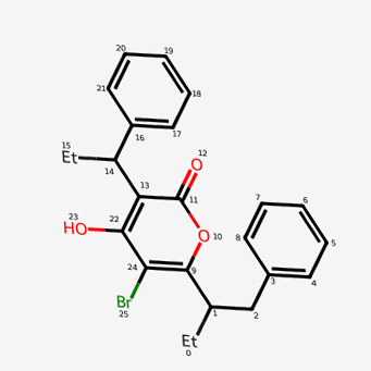 CCC(Cc1ccccc1)c1oc(=O)c(C(CC)c2ccccc2)c(O)c1Br